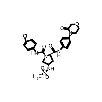 CS(=O)(=O)N[C@H]1C[C@H](C(=O)Nc2ccc(N3CCOCC3=O)cc2)N(C(=O)Nc2ccc(Cl)cc2)C1